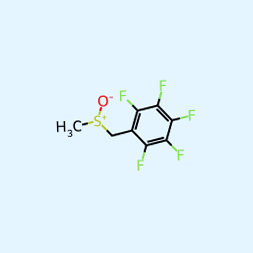 C[S+]([O-])Cc1c(F)c(F)c(F)c(F)c1F